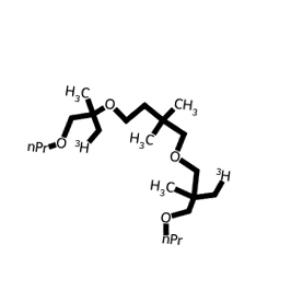 [3H]CC(C)(COCCC)COCC(C)(C)CCOC(C)(C[3H])COCCC